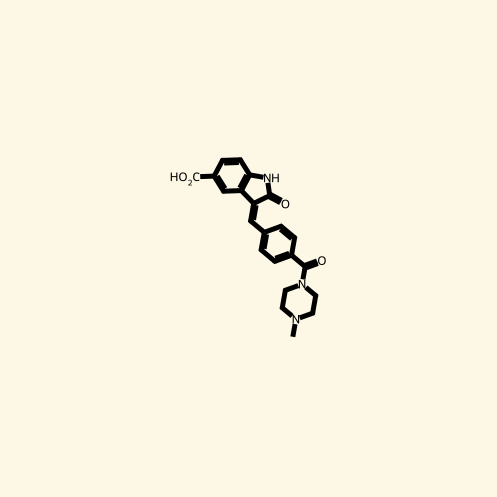 CN1CCN(C(=O)c2ccc(/C=C3\C(=O)Nc4ccc(C(=O)O)cc43)cc2)CC1